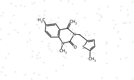 C=C1c2cc(C)ccc2N(C)C(=O)N1Cc1ccc(C)s1